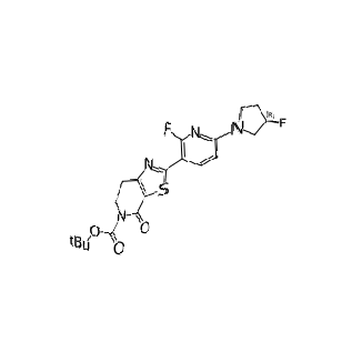 CC(C)(C)OC(=O)N1CCc2nc(-c3ccc(N4CC[C@@H](F)C4)nc3F)sc2C1=O